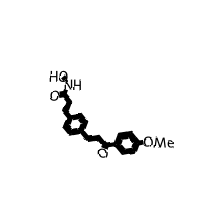 COc1ccc(C(=O)C=Cc2ccc(C=CC(=O)NO)cc2)cc1